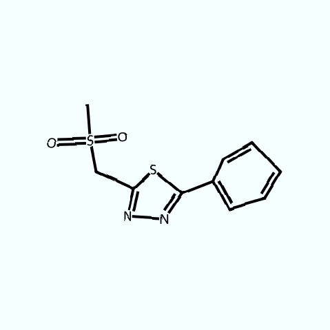 CS(=O)(=O)Cc1nnc(-c2ccccc2)s1